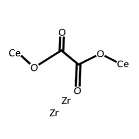 O=C([O][Ce])C(=O)[O][Ce].[Zr].[Zr]